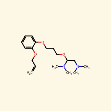 C=CCOc1ccccc1OCCCOC(CN(C)C)N(C)C